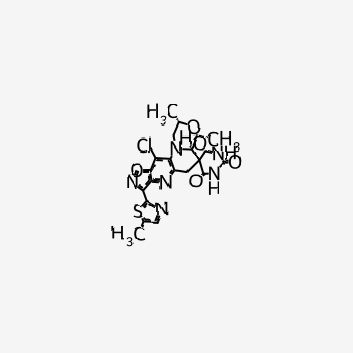 Cc1cnc(-c2noc3c(Cl)c4c(nc23)CC2(C(=O)NC(=O)NC2=O)[C@@H]2[C@@H](C)O[C@@H](C)CN42)s1